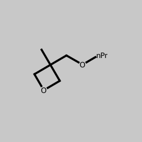 [CH2]CCOCC1(C)COC1